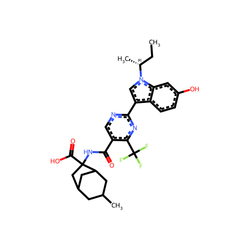 CC[C@@H](C)n1cc(-c2ncc(C(=O)NC3(C(=O)O)CC4CC(C)CC3C4)c(C(F)(F)F)n2)c2ccc(O)cc21